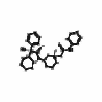 C[N+]1(CC(=O)Nc2ccncn2)CCCC(OC(=O)[C@](O)(c2ccccc2)C2CCCCC2)C1